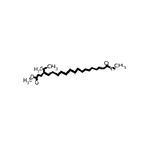 COC(=O)CCCCCCCCCCCCCCCC(CCC(=O)OC)C(C)C